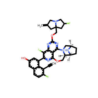 C#Cc1c(F)ccc2cc(O)cc(-c3nc4c5c(nc(OCC67CC(=C)CN6CC(F)C7)nc5c3F)N3C[C@H]5CC[C@H](N5)[C@H]3CO4)c12